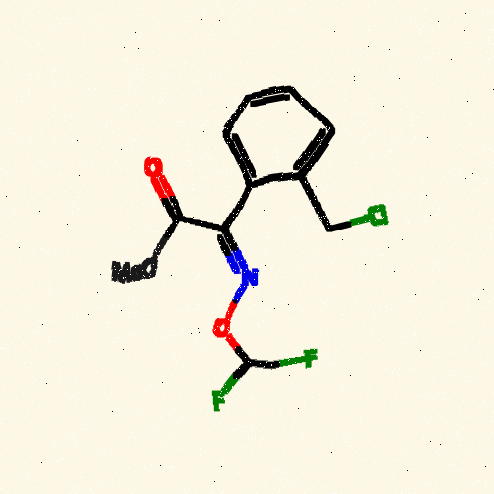 COC(=O)C(=NOC(F)F)c1ccccc1CCl